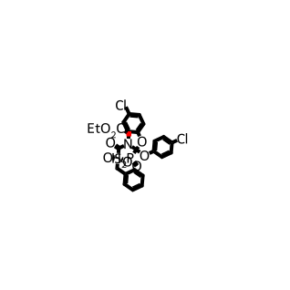 CCOC(=O)CN(C(=O)S(=O)(=O)Cc1ccccc1)C(Oc1ccc(Cl)cc1)(Oc1ccc(Cl)cc1)[PH2]=O